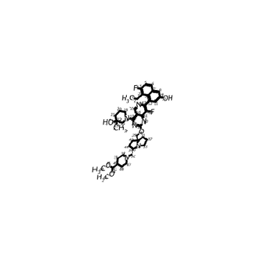 CCc1c(F)ccc2cc(O)cc(-c3ncc4c(N5CCC[C@@](C)(O)C5)nc(OC[C@@]56CCCN5[C@H](CN5CCC(C(OC)OC)CC5)CC6)nc4c3F)c12